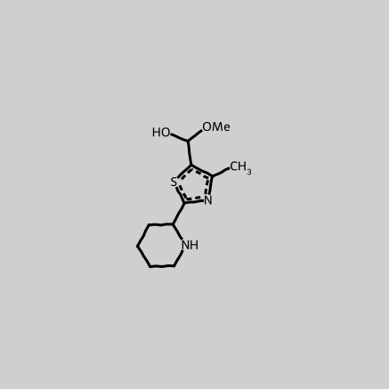 COC(O)c1sc(C2CCCCN2)nc1C